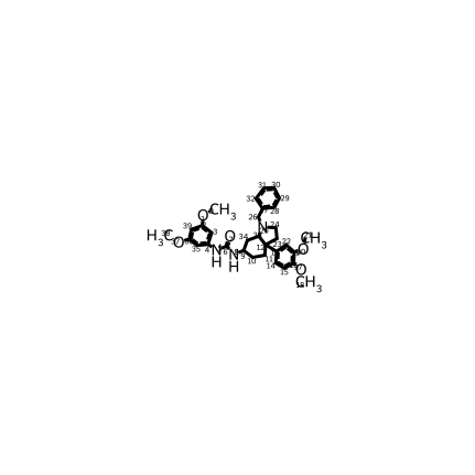 COc1cc(NC(=O)NC2CCC3(c4ccc(OC)c(OC)c4)CCN(Cc4ccccc4)C3C2)cc(OC)c1